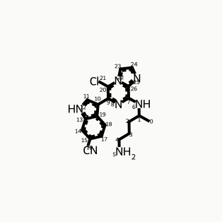 CC(CCCN)Nc1nc(-c2c[nH]c3cc(C#N)ccc23)c(Cl)n2ccnc12